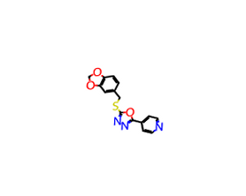 c1cc(-c2nnc(SCc3ccc4c(c3)OCO4)o2)ccn1